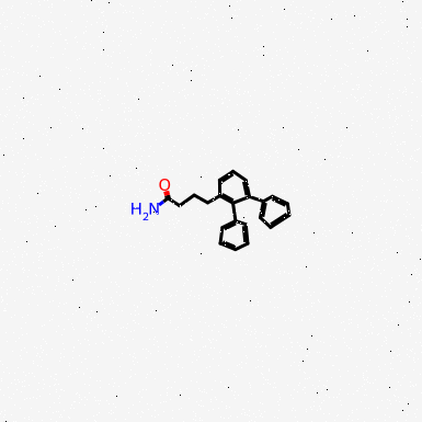 NC(=O)CCCc1cccc(-c2ccccc2)c1-c1ccccc1